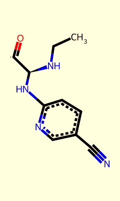 CCN[C@H]([C]=O)Nc1ccc(C#N)cn1